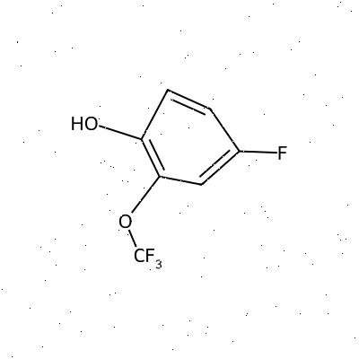 Oc1ccc(F)cc1OC(F)(F)F